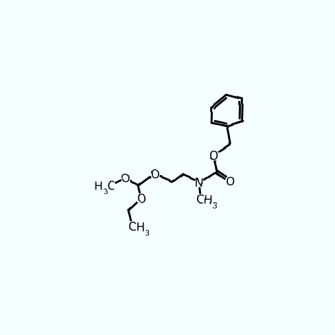 CCOC(OC)OCCN(C)C(=O)OCc1ccccc1